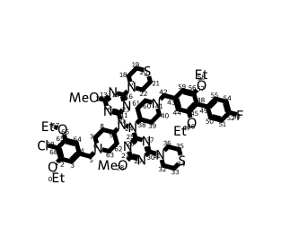 CCOc1cc(CN2CCC(N(c3nc(OC)nc(N4CCSCC4)n3)N(c3nc(OC)nc(N4CCSCC4)n3)C3CCN(Cc4cc(OCC)c(-c5ccc(F)cc5)c(OCC)c4)CC3)CC2)cc(OCC)c1Cl